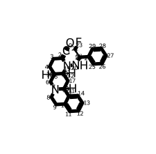 O=C=C1CC[C@@H]2CN3CCc4ccccc4[C@H]3C[C@@H]2N1N[C@@H](CF)c1ccccc1